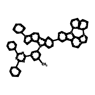 Cc1cc(-c2nc(-c3ccccc3)nc(-c3ccccc3)n2)cc(-n2c3ccc(-c4ccc5c(c4)c4ccc6ccn(-c7ccccc7)c6c4n5-c4ccccc4)cc3c3ccc4c(ccn4-c4ccccc4)c32)c1